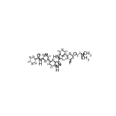 CN(C)CCOc1cc(F)cc(-c2cccc3[nH]c(-c4n[nH]c5ccc(-c6cncc(NC(=O)C7CCCCC7)c6)cc45)cc23)c1